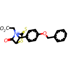 O=C(O)C[N+]12C(=O)C(SC1=S)C2c1ccc(OCc2ccccc2)cc1